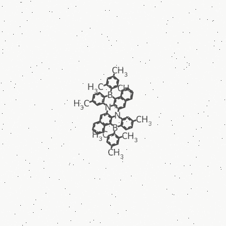 Cc1cc(C)c(B2c3ccc(C)cc3N3c4cc5ccccc5c5c4N(c4cc(C)ccc4B5c4c(C)cc(C)cc4C)c4cc5ccccc5c2c43)c(C)c1